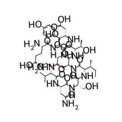 CC[C@H](C)[C@H](NC(=O)[C@H](CO)NC(=O)[C@H](CC(N)=O)NC(=O)[C@@H](NC(=O)[C@H](C)NC(=O)[C@H](Cc1ccc(O)cc1)NC(=O)[C@@H](N)CCC(=O)O)C(C)C)C(=O)N[C@@H](CCCCN)C(=O)N[C@H](C(=O)N[C@@H](CC(=O)O)C(=O)O)[C@@H](C)O